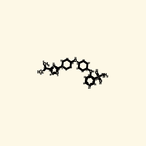 CC(C)c1noc(N2CCC(O[C@H]3CC[C@H](Oc4ccncc4S(N)(=O)=O)CC3)CC2)n1